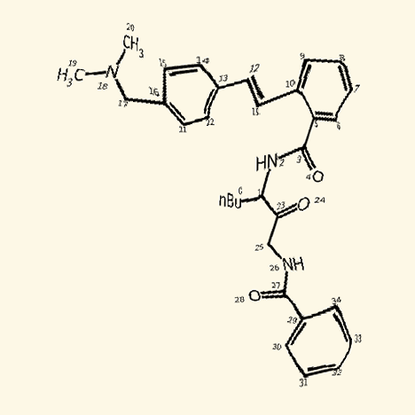 CCCCC(NC(=O)c1ccccc1C=Cc1ccc(CN(C)C)cc1)C(=O)CNC(=O)c1ccccc1